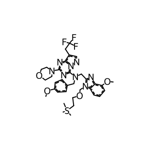 COc1ccc(CN(Cc2nc3c(OC)cccc3n2COCCS(C)(C)C)c2nc(N3CCOCC3)nc3c(CC(F)(F)F)cnn23)cc1